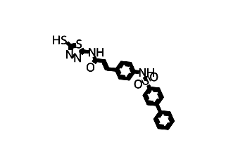 O=C(/C=C/c1ccc(NS(=O)(=O)c2ccc(-c3ccccc3)cc2)cc1)Nc1nnc(S)s1